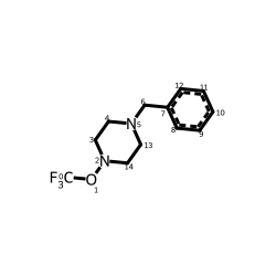 FC(F)(F)ON1CCN(Cc2ccccc2)CC1